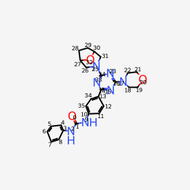 O=C(Nc1ccccc1)Nc1ccc(-c2nc(N3CCOCC3)nc(N3CC4CCC(C3)O4)n2)cc1